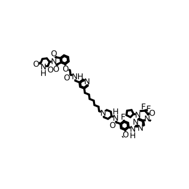 COc1cc(C(=O)NC2CCN(CCCCCCCc3cncc(CNC(=O)COc4cccc5c4C(=O)N(C4CCC(=O)NC4=O)C5=O)c3)CC2)c(F)cc1Nc1ncc2c(n1)N(C1CCCC1)CC(F)(F)C(=O)N2C